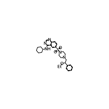 CCOC(CN1CCN(S(=O)(=O)c2ccc3ncnc(NC4CCCCC4)c3c2)CC1)c1ccccc1